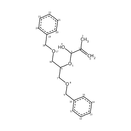 C=C(C)C(O)OC(COCc1ccccc1)COCc1ccccc1